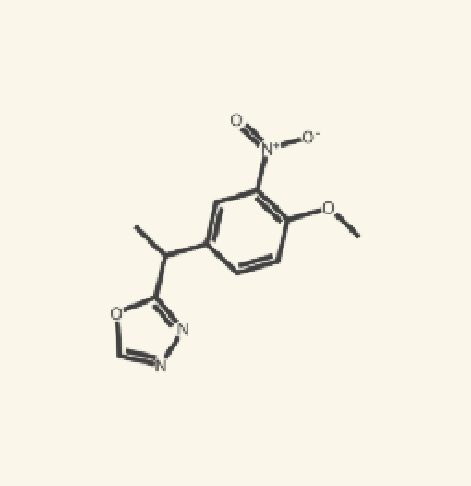 COc1ccc(C(C)c2nnco2)cc1[N+](=O)[O-]